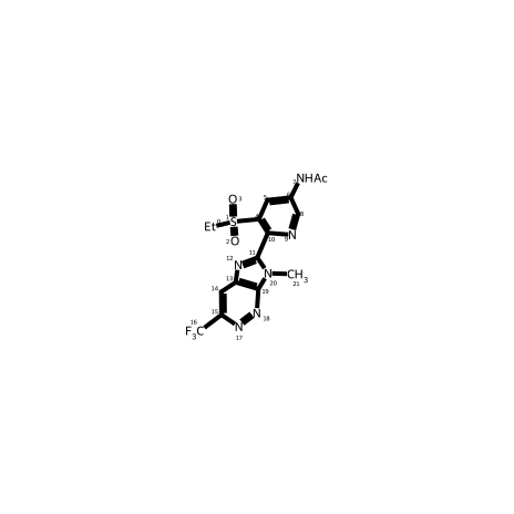 CCS(=O)(=O)c1cc(NC(C)=O)cnc1-c1nc2cc(C(F)(F)F)nnc2n1C